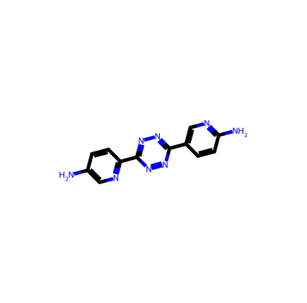 Nc1ccc(-c2nnc(-c3ccc(N)nc3)nn2)nc1